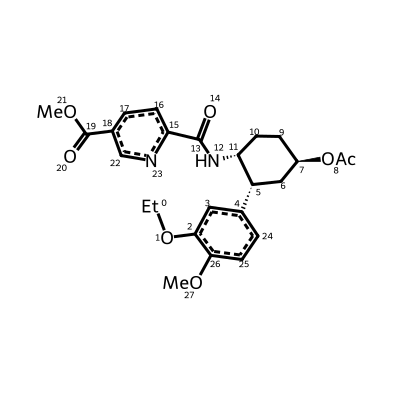 CCOc1cc([C@H]2C[C@H](OC(C)=O)CC[C@H]2NC(=O)c2ccc(C(=O)OC)cn2)ccc1OC